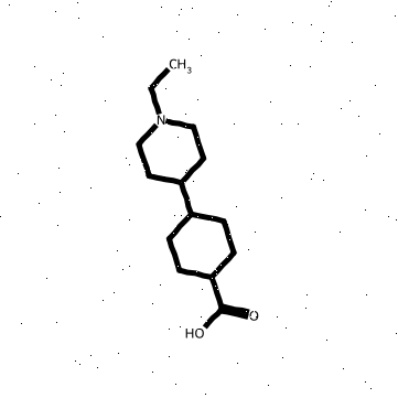 CCN1CCC(C2CCC(C(=O)O)CC2)CC1